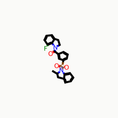 CC1Cc2ccccc2N1S(=O)(=O)c1cccc(C(=O)N2CCc3cccc(F)c32)c1